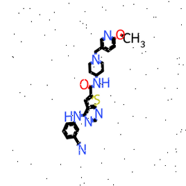 COc1ccc(CN2CCC(NC(=O)c3cc4c(Nc5cccc(C#N)c5)ncnc4s3)CC2)cn1